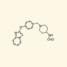 O=CNC1CCN(Cc2ccc(Oc3nc4ccccc4s3)cc2)CC1